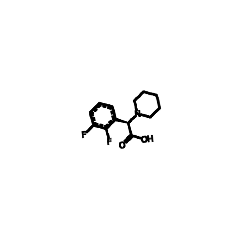 O=C(O)[C@@H](c1cccc(F)c1F)N1CCCCC1